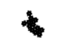 c1ccc(-c2ccc(C3(c4ccc(-c5ccccc5)cc4)c4ccccc4-c4cc(N(c5cccc6c5-c5ccccc5C65c6ccccc6-c6ccccc65)c5cccc6sc7ccccc7c56)ccc43)cc2)cc1